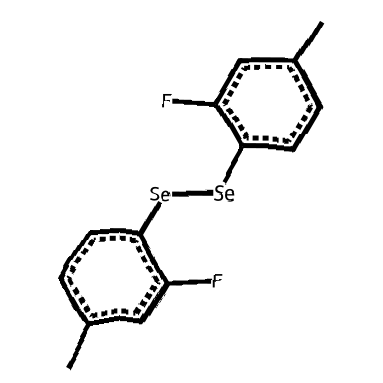 Cc1ccc([Se][Se]c2ccc(C)cc2F)c(F)c1